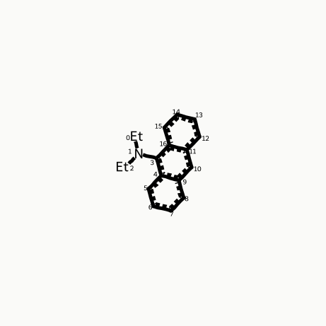 CCN(CC)c1c2ccccc2cc2ccccc12